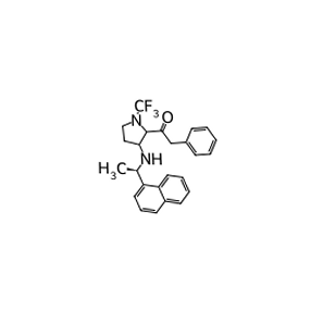 C[C@@H](NC1CCN(C(F)(F)F)C1C(=O)Cc1ccccc1)c1cccc2ccccc12